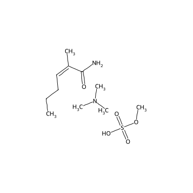 CCCC=C(C)C(N)=O.CN(C)C.COS(=O)(=O)O